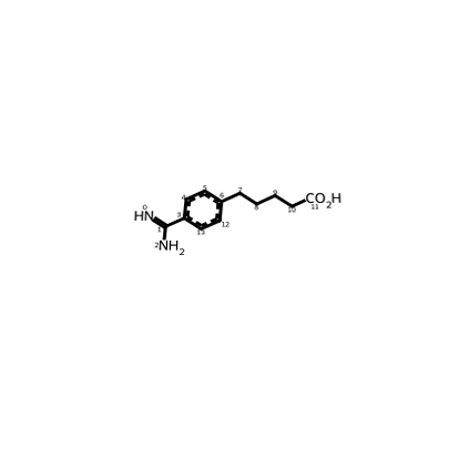 N=C(N)c1ccc(CCCCC(=O)O)cc1